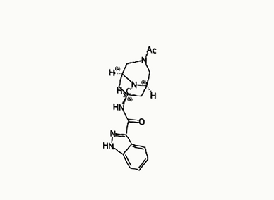 CC(=O)N1C[C@H]2C[C@@H](NC(=O)c3n[nH]c4ccccc34)C[C@@H](C1)N2C